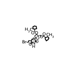 Cc1ccccc1C(=O)OC[C@H]1O[C@@H](n2cc(/C=C/Br)c(=O)[nH]c2=O)C[C@@H]1OC(=O)c1ccccc1C